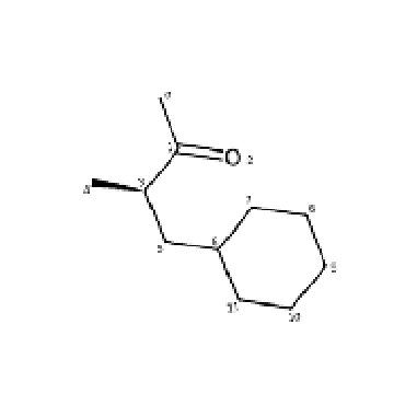 CC(=O)[C@H](C)CC1CCCCC1